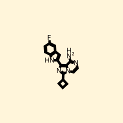 Nc1nccn2c(C3CCC3)nc(-c3cc4cc(F)ccc4[nH]3)c12